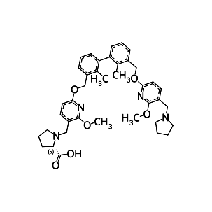 COc1nc(OCc2cccc(-c3cccc(COc4ccc(CN5CCC[C@H]5C(=O)O)c(OC)n4)c3C)c2C)ccc1CN1CCCC1